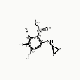 O=[N+]([O-])c1c(NC2CC2)cc(F)c(I)c1F